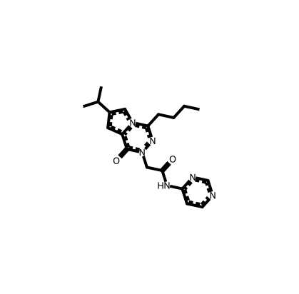 CCCCc1nn(CC(=O)Nc2ccncn2)c(=O)c2cc(C(C)C)cn12